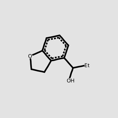 CCC(O)c1cccc2c1CCO2